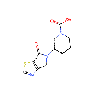 O=C(O)N1CCCC(N2Cc3ncsc3C2=O)C1